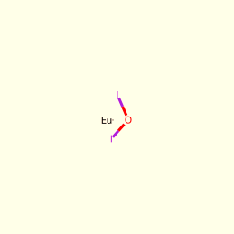 IOI.[Eu]